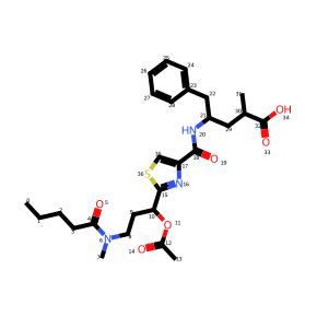 CCCCC(=O)N(C)CCC(OC(C)=O)c1nc(C(=O)NC(Cc2ccccc2)CC(C)C(=O)O)cs1